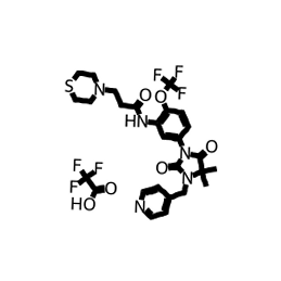 CC1(C)C(=O)N(c2ccc(OC(F)(F)F)c(NC(=O)CCN3CCSCC3)c2)C(=O)N1Cc1ccncc1.O=C(O)C(F)(F)F